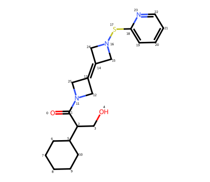 O=C(C(CO)C1CCCCC1)N1CC(=C2CN(Sc3ccccn3)C2)C1